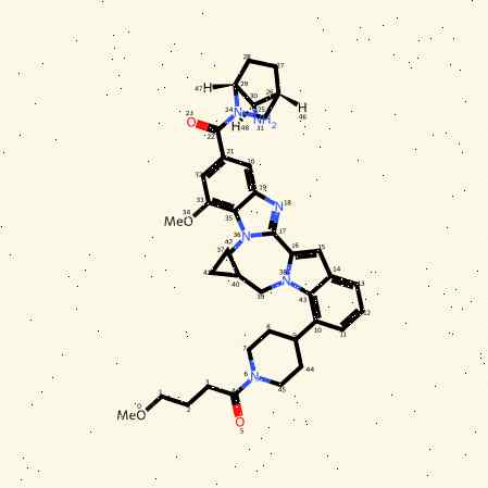 COCCCC(=O)N1CCC(c2cccc3cc(-c4nc5cc(C(=O)N6C[C@H]7CC[C@@H]6[C@@H]7N)cc(OC)c5n4C)n(CC4CC4)c23)CC1